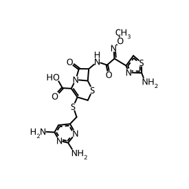 CON=C(C(=O)NC1C(=O)N2C(C(=O)O)=C(SCc3cc(N)nc(N)n3)CSC12)c1csc(N)n1